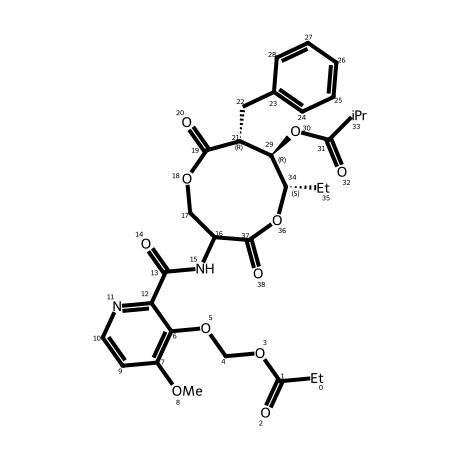 CCC(=O)OCOc1c(OC)ccnc1C(=O)NC1COC(=O)[C@H](Cc2ccccc2)[C@@H](OC(=O)C(C)C)[C@H](CC)OC1=O